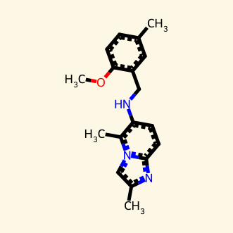 COc1ccc(C)cc1CNc1ccc2nc(C)cn2c1C